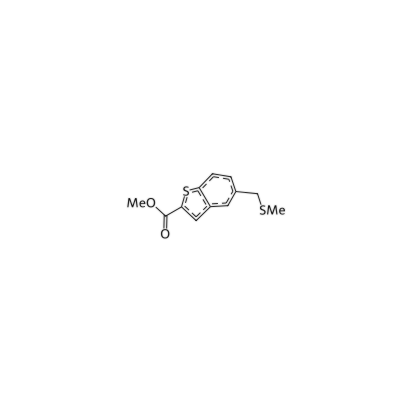 COC(=O)c1cc2cc(CSC)ccc2s1